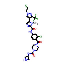 Cn1c(-c2cn(CCF)nc2C(F)(F)F)cnc1C(=O)Nc1ccc(C(=O)N2CCN(C(=O)NC3CNC3)CC2)c(Cl)c1